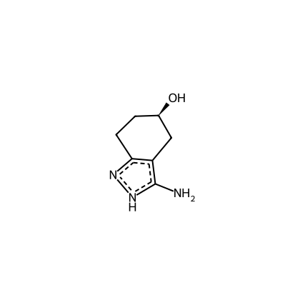 Nc1[nH]nc2c1C[C@H](O)CC2